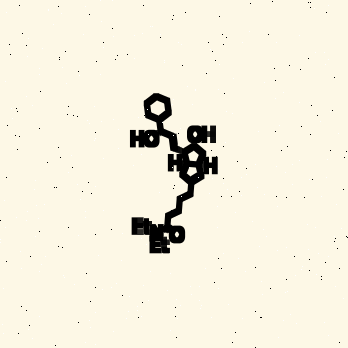 CCN(CC)C(=O)CCCCC1=C[C@H]2C[C@@H](O)[C@H](/C=C/[C@@H](O)C3CCCCC3)[C@H]2C1